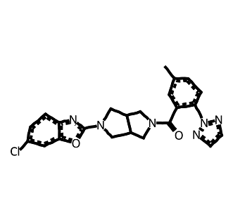 Cc1ccc(-n2nccn2)c(C(=O)N2CC3CN(c4nc5ccc(Cl)cc5o4)CC3C2)c1